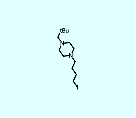 CC(C)(C)CN1CCN(CCCCI)CC1